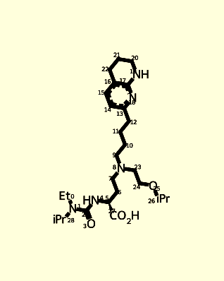 CCN(C(=O)N[C@@H](CCN(CCCCc1ccc2c(n1)NCCC2)CCOC(C)C)C(=O)O)C(C)C